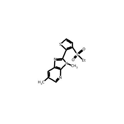 CCS(=O)(=O)c1ccsc1-c1nc2cc(C)cnc2n1C